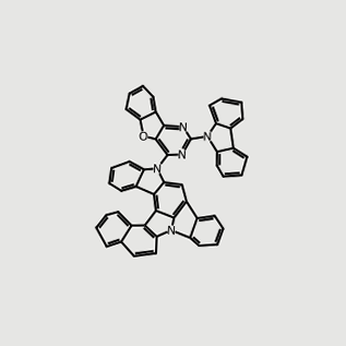 c1ccc2c(c1)ccc1c2c2c3c4ccccc4n(-c4nc(-n5c6ccccc6c6ccccc65)nc5c4oc4ccccc45)c3cc3c4ccccc4n1c32